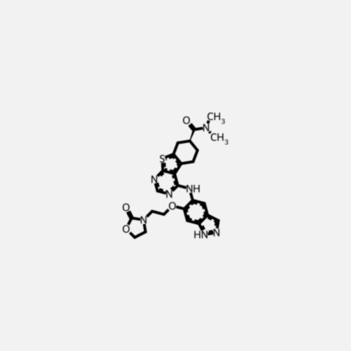 CN(C)C(=O)[C@H]1CCc2c(sc3ncnc(Nc4cc5cn[nH]c5cc4OCCN4CCOC4=O)c23)C1